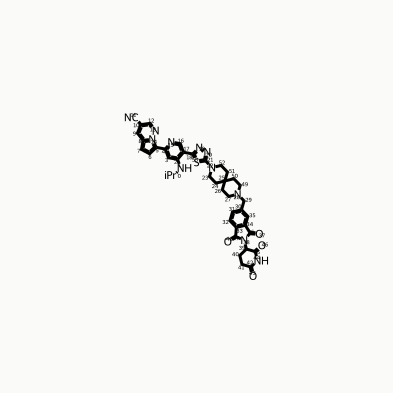 CC(C)Nc1cc(-c2ccc3cc(C#N)cnn23)ncc1-c1nnc(N2CCC3(CCN(Cc4ccc5c(c4)C(=O)N(C4CCC(=O)NC4=O)C5=O)CC3)CC2)s1